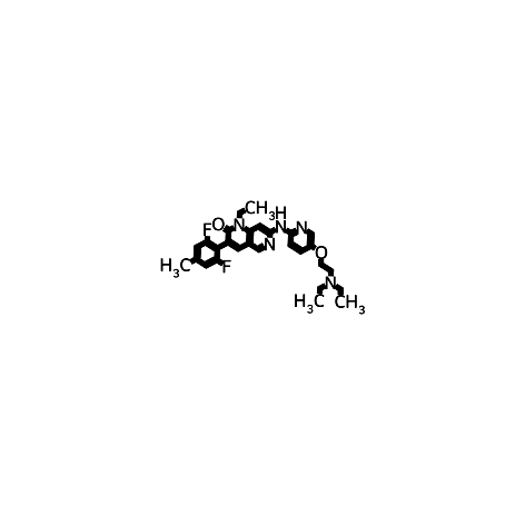 CCN(CC)CCOc1ccc(Nc2cc3c(cn2)cc(-c2c(F)cc(C)cc2F)c(=O)n3CC)nc1